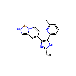 Cc1cccc(-c2[nH]c(C(C)(C)C)nc2C2=CC3=CNSN3C=C2)n1